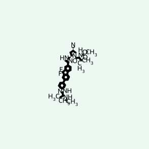 CCN[C@H](c1nc2ccc(-c3ccc4c(c3)C(F)(F)c3cc(-c5c[nH]c([C@@H]6C[C@H](C#N)CN6C(=O)[C@@H](NC(=O)OC)C(C)C)n5)ccc3-4)cc2[nH]1)C(C)C